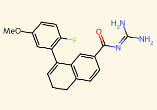 COc1ccc(F)c(C2=CCCc3ccc(C(=O)N=C(N)N)cc32)c1